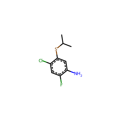 CC(C)Sc1cc(N)c(F)cc1Cl